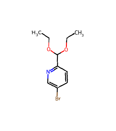 CCOC(OCC)c1ccc(Br)cn1